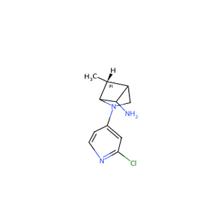 C[C@@H]1C2CN(c3ccnc(Cl)c3)C1C2N